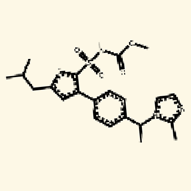 COC(=O)NS(=O)(=O)c1sc(CC(C)C)cc1-c1ccc(C(C)n2ccnc2C)cc1